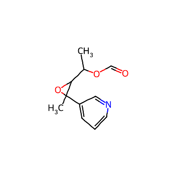 CC(OC=O)C1OC1(C)c1cccnc1